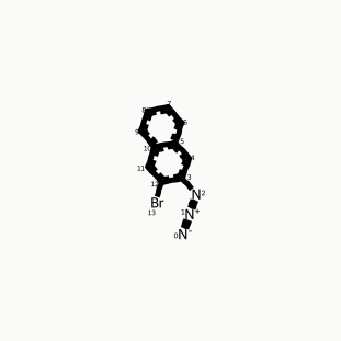 [N-]=[N+]=Nc1cc2ccccc2cc1Br